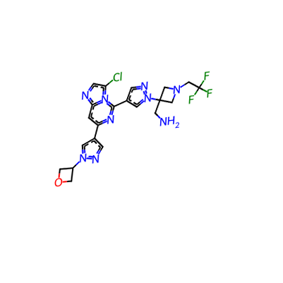 NCC1(n2cc(-c3nc(-c4cnn(C5COC5)c4)cc4ncc(Cl)n34)cn2)CN(CC(F)(F)F)C1